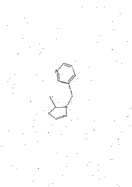 CC1SC=CN1Cc1cccnc1